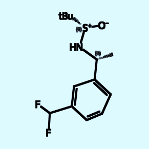 C[C@@H](N[S@@+]([O-])C(C)(C)C)c1cccc(C(F)F)c1